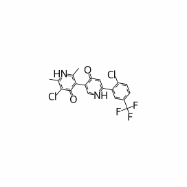 Cc1[nH]c(C)c(-c2c[nH]c(-c3cc(C(F)(F)F)ccc3Cl)cc2=O)c(=O)c1Cl